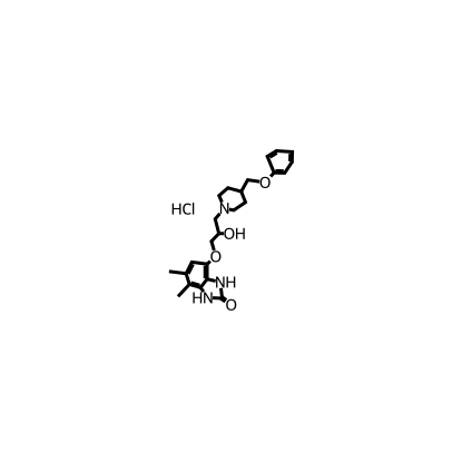 Cc1cc(OCC(O)CN2CCC(COc3ccccc3)CC2)c2[nH]c(=O)[nH]c2c1C.Cl